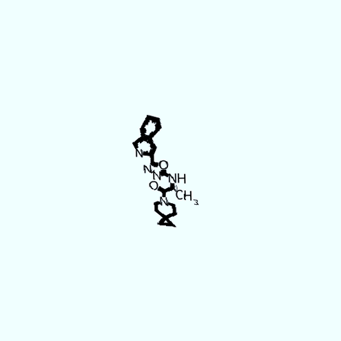 C[C@@H](Nc1nnc(-c2cc3ccccc3cn2)o1)C(=O)N1CCC2(CC1)CC2